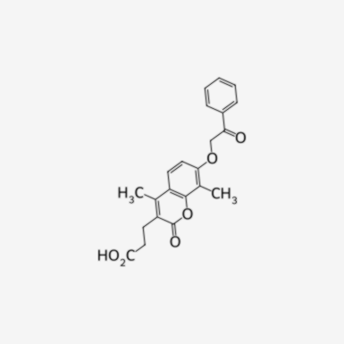 Cc1c(CCC(=O)O)c(=O)oc2c(C)c(OCC(=O)c3ccccc3)ccc12